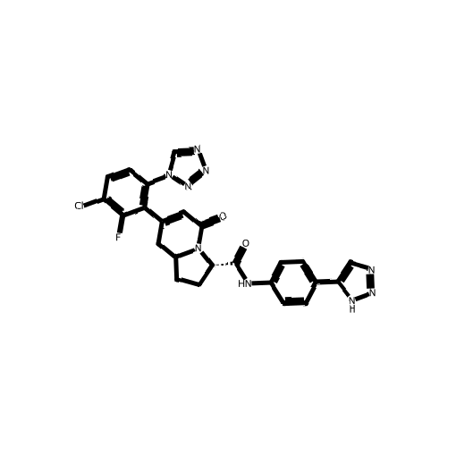 O=C(Nc1ccc(-c2cnn[nH]2)cc1)[C@@H]1CCC2CC(c3c(-n4cnnn4)ccc(Cl)c3F)=CC(=O)N21